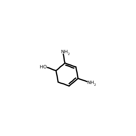 NC1=CCC(O)C(N)=C1